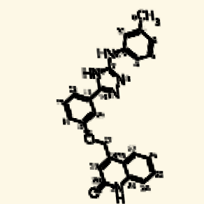 Cc1cccc(Nc2nnc(-c3cccc(OCc4cc(=O)[nH]c5ccccc45)c3)[nH]2)c1